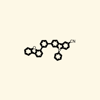 N#Cc1ccc2c(c1)c1ccc(-c3cccc(-c4cccc5c4oc4ccccc45)c3)cc1n2-c1ccccc1